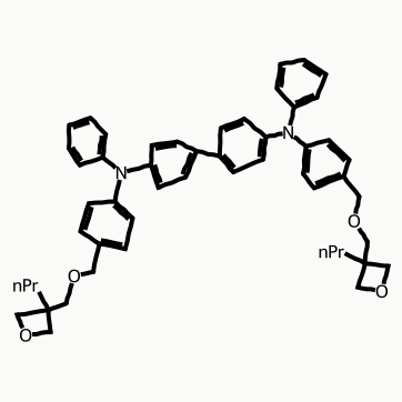 CCCC1(COCc2ccc(N(c3ccccc3)c3ccc(-c4ccc(N(c5ccccc5)c5ccc(COCC6(CCC)COC6)cc5)cc4)cc3)cc2)COC1